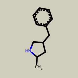 CC1CC(Cc2ccccc2)CN1